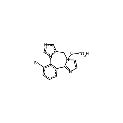 O=C(O)O[N+]12C=CN=C1c1cccc(Br)c1-n1cncc1C2